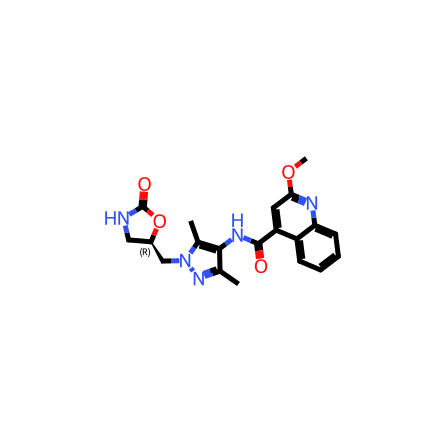 COc1cc(C(=O)Nc2c(C)nn(C[C@H]3CNC(=O)O3)c2C)c2ccccc2n1